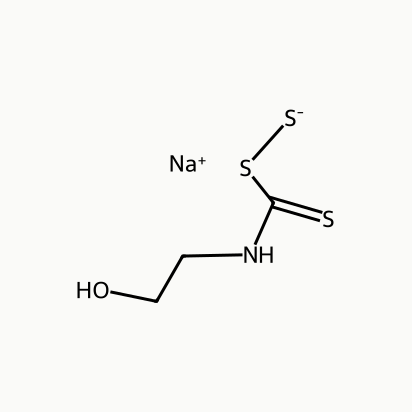 OCCNC(=S)S[S-].[Na+]